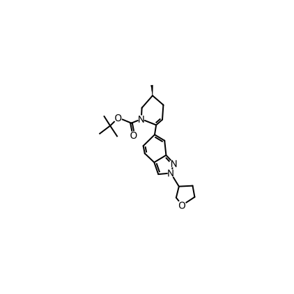 C[C@H]1CC=C(c2ccc3cn(C4CCOC4)nc3c2)N(C(=O)OC(C)(C)C)C1